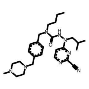 CCCCN(Cc1ccc(CN2CCN(C)CC2)cc1)C(=O)NN(CC(C)C)c1ccnc(C#N)n1